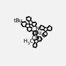 CC(C)(C)c1ccc2c(c1)C1(c3ccccc3-c3ccc(N(c4cccc(-c5cccc6c5C(C)(C)c5ccccc5-6)c4)c4ccc5c(c4)C4(CC6CCC4C6)c4ccccc4-5)cc31)c1cc(C(C)(C)C)ccc1-2